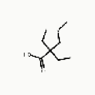 CCC(CC)(CSC)C(=O)O